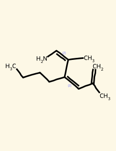 C=C(C)/C=C(CCCC)\C(C)=C/N